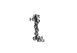 CCC(C)C(=O)NCCOCCOCCOCCOCC(=O)NCC(C)(C)CC